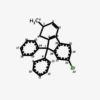 CC1C=CC2=C(C1)C(c1ccccc1)(c1ccccc1)c1cc(Br)ccc12